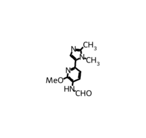 COc1nc(-c2cnc(C)n2C)ccc1NC=O